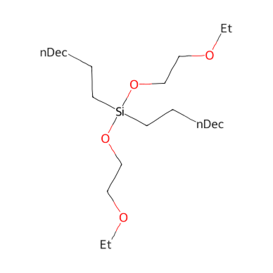 CCCCCCCCCCCC[Si](CCCCCCCCCCCC)(OCCOCC)OCCOCC